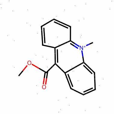 COC(=O)c1c2ccccc2[n+](C)c2ccccc12